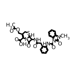 CC(=O)OCC1=C(C(=O)O)N2C(=O)C(NC(=O)Cc3ccccc3NC(=O)n3c(=O)n(C)c4ccccc43)[C@H]2SC1